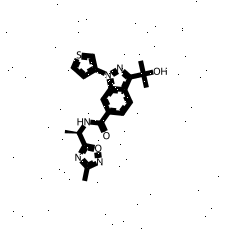 Cc1noc([C@@H](C)NC(=O)c2ccc3c(C(C)(C)O)nn(-c4ccsc4)c3c2)n1